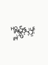 CC(C)CC(=O)N(c1cc(-c2cccc(F)c2)sc1C(=O)O)C(C)C